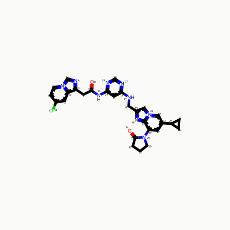 O=C(Cc1ncn2ccc(Cl)cc12)Nc1cc(NCc2cn3cc(C4CC4)cc(N4CCCC4=O)c3n2)ncn1